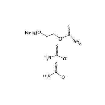 NC(=S)OCCO.NC([O-])=S.NC([O-])=S.[Na+].[Na+]